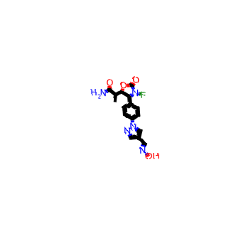 CC(C(N)=O)C1OC(=O)N(F)C1c1ccc(-n2cc(C=NO)cn2)cc1